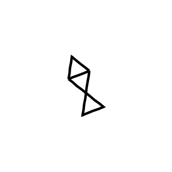 C1C2C1C21CC1